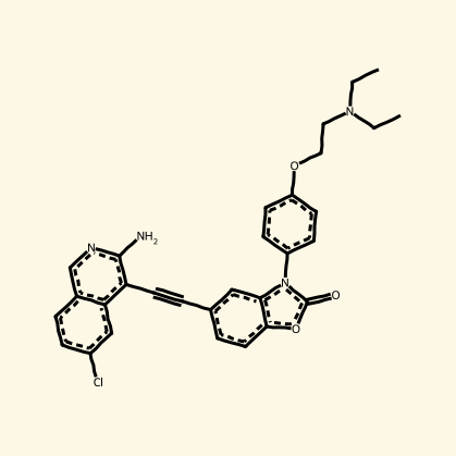 CCN(CC)CCOc1ccc(-n2c(=O)oc3ccc(C#Cc4c(N)ncc5ccc(Cl)cc45)cc32)cc1